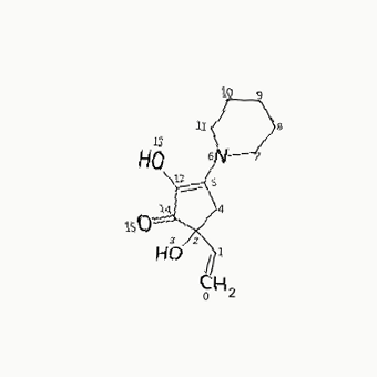 C=CC1(O)CC(N2CCCCC2)=C(O)C1=O